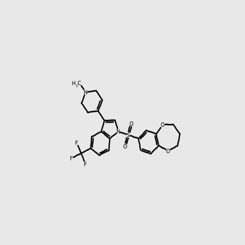 CN1CC=C(c2cn(S(=O)(=O)c3ccc4c(c3)OCCCO4)c3ccc(C(F)(F)F)cc23)CC1